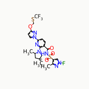 Cc1nn(F)cc1S(=O)(=O)NC(=O)c1ccc(-n2ccc(OCSC(F)(F)F)n2)nc1N1C[C@@H](C)CC1C